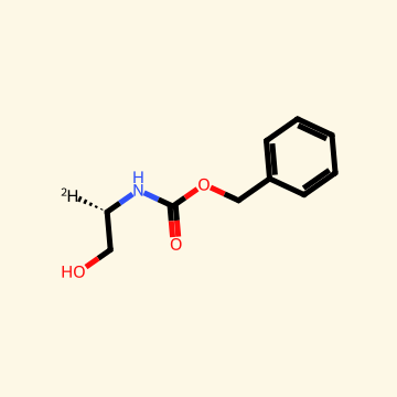 [2H][C@@H](CO)NC(=O)OCc1ccccc1